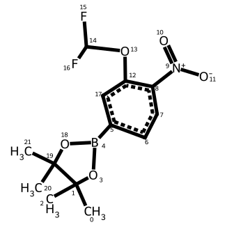 CC1(C)OB(c2ccc([N+](=O)[O-])c(OC(F)F)c2)OC1(C)C